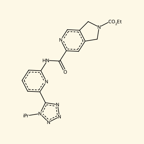 CCOC(=O)N1Cc2cnc(C(=O)Nc3cccc(-c4nnnn4C(C)C)n3)cc2C1